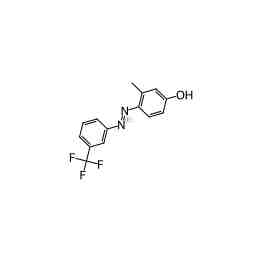 Cc1cc(O)ccc1/N=N/c1cccc(C(F)(F)F)c1